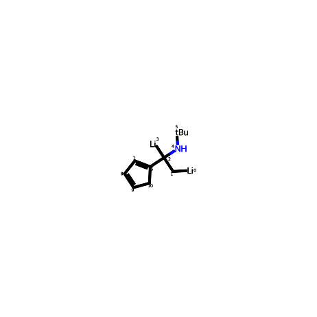 [Li][CH2][C]([Li])(NC(C)(C)C)C1=CC=CC1